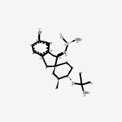 C[C@H]1C[C@@]2(CC[C@@H]1OC(C)(C)C(C)(C)C)Cc1ccc(Br)cc1/C2=N\[S@@+]([O-])C(C)(C)C